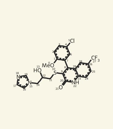 COc1ccc(Cl)cc1-c1c(SCC(O)Cn2ccnc2)c(=O)[nH]c2ccc(C(F)(F)F)cc12